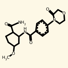 COC1CCC(C(N)=O)C(NC(=O)c2ccc(N3CCOCC3=O)cc2)C1